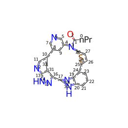 CCCC(=O)n1c2cncc(c2)c2cnc3[nH]nc(c4nc5c(cccc5c5ccc1s5)[nH]4)c3c2